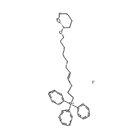 C(=CCCC[P+](c1ccccc1)(c1ccccc1)c1ccccc1)CCCCCCOC1CCCCO1.[I-]